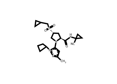 Cc1cc(N2C[C@H](S(=O)(=O)CC3CC3)C[C@H]2C(=O)NC2(C#N)CC2)n(C2CCC2)n1